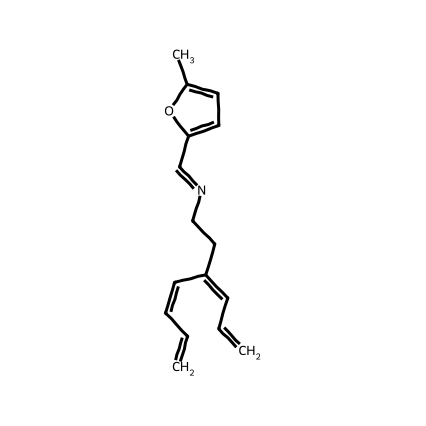 C=C/C=C\C(=C/C=C)CC/N=C/c1ccc(C)o1